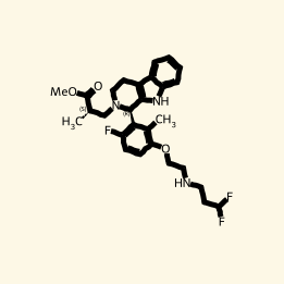 COC(=O)[C@@H](C)CN1CCc2c([nH]c3ccccc23)[C@H]1c1c(F)ccc(OCCNCCC(F)F)c1C